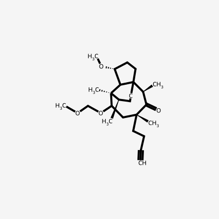 C#CCC[C@]1(C)CC(OCOC)[C@@]2(C)C3[C@H](OC)CCC3(CC[C@H]2C)[C@@H](C)C1=O